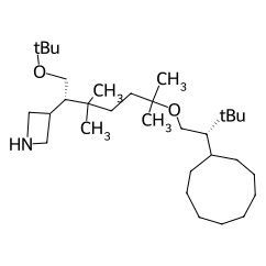 CC(C)(C)OC[C@@H](C1CNC1)C(C)(C)CCC(C)(C)OC[C@@H](C1CCCCCCCC1)C(C)(C)C